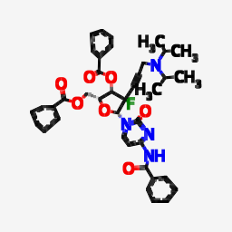 CC(C)N(CC#C[C@@]1(F)C(OC(=O)c2ccccc2)[C@@H](COC(=O)c2ccccc2)O[C@H]1n1ccc(NC(=O)c2ccccc2)nc1=O)C(C)C